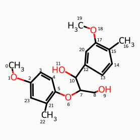 COc1ccc(OC(CO)C(O)c2ccc(C)c(OC)c2)c(C)c1